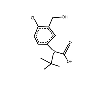 CC(C)(C)N(C(=O)O)c1ccc(Cl)c(CO)c1